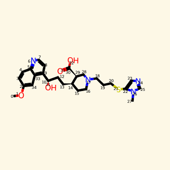 COc1ccc2nccc([C@@H](O)CC[C@@H]3CCN(CCCSc4cncn4C)C[C@@H]3C(=O)O)c2c1